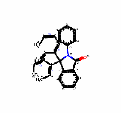 C=C/C(=C\C=C/C)C1(C(/C=C\C)=C/C)c2ccccc2C(=O)N1c1ccccc1